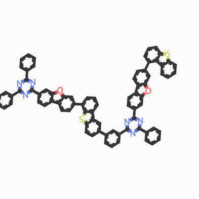 c1ccc(-c2nc(-c3ccccc3)nc(-c3ccc4c(c3)oc3cc(-c5cccc6c5sc5ccc(-c7cccc(-c8nc(-c9ccccc9)nc(-c9ccc%10c(c9)oc9cc(-c%11cccc%12sc%13ccccc%13c%11%12)ccc9%10)n8)c7)cc56)ccc34)n2)cc1